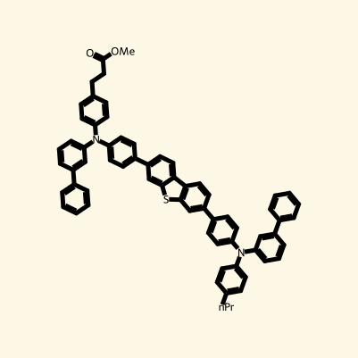 CCCc1ccc(N(c2ccc(-c3ccc4c(c3)sc3cc(-c5ccc(N(c6ccc(CCC(=O)OC)cc6)c6cccc(-c7ccccc7)c6)cc5)ccc34)cc2)c2cccc(-c3ccccc3)c2)cc1